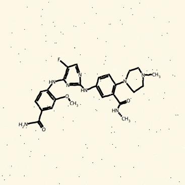 CNC(=O)c1cc(Nc2ncc(F)c(Nc3ccc(C(N)=O)cc3OC)n2)ccc1N1CCN(C)CC1